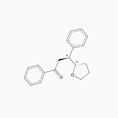 O=C(C[C@@H](c1ccccc1)[C@@H]1CCCO1)c1ccccc1